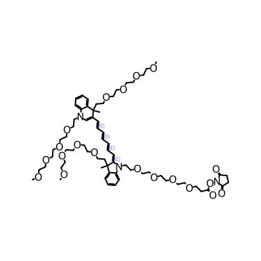 COCCOCCOCCOCCN1C=C(/C=C/C=C/C=C/C=C2/N(CCOCCOCCOCCOCCC(=O)ON3C(=O)CCC3=O)c3ccccc3C2(C)CCOCCOCCOCCOC)C(C)(CCOCCOCCOCCOC)c2ccccc21